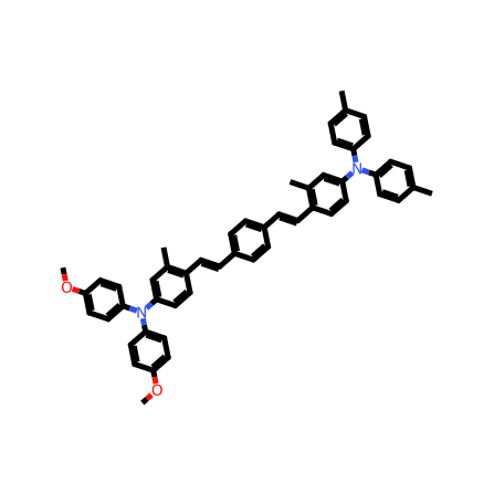 COc1ccc(N(c2ccc(OC)cc2)c2ccc(C=Cc3ccc(C=Cc4ccc(N(c5ccc(C)cc5)c5ccc(C)cc5)cc4C)cc3)c(C)c2)cc1